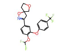 FC(F)Oc1ccc(C2=NOC3(CCOC3)C2)cc1Oc1ccc(C(F)(F)F)cc1